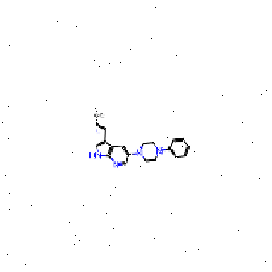 CC(=O)/C=C/c1c[nH]c2ncc(N3CCN(c4ccccc4)CC3)cc12